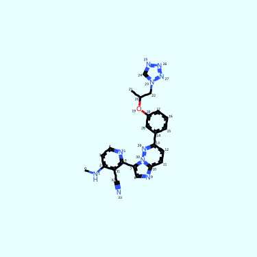 CNc1ccnc(-c2cnc3ccc(-c4cccc(OC(C)Cn5cnnn5)c4)nn23)c1C#N